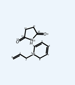 C=CCN1C=CC=CC1.O=C1CCC(=O)N1